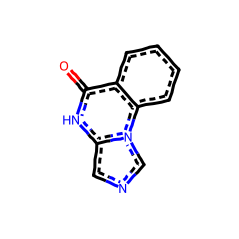 O=c1[nH]c2cncn2c2ccccc12